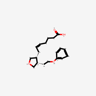 O=C(O)CCC/C=C\C[C@H]1COC[C@H]1CCOc1ccccc1